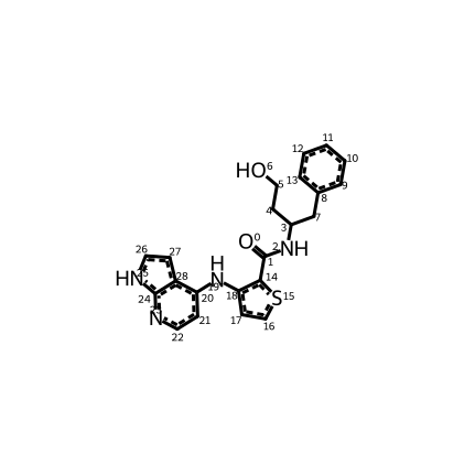 O=C(NC(CCO)Cc1ccccc1)c1sccc1Nc1ccnc2[nH]ccc12